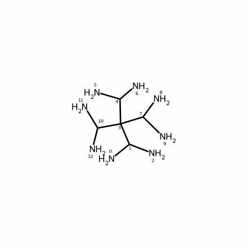 NC(N)C(C(N)N)(C(N)N)C(N)N